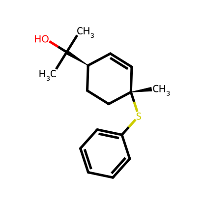 CC(C)(O)[C@H]1C=C[C@](C)(Sc2ccccc2)CC1